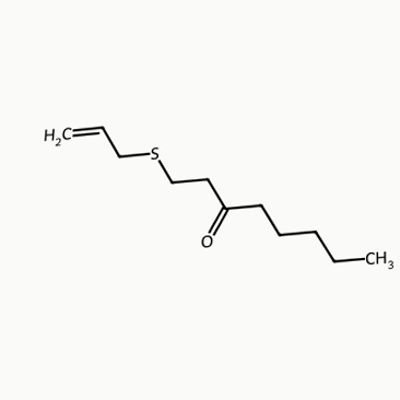 C=CCSCCC(=O)CCCCC